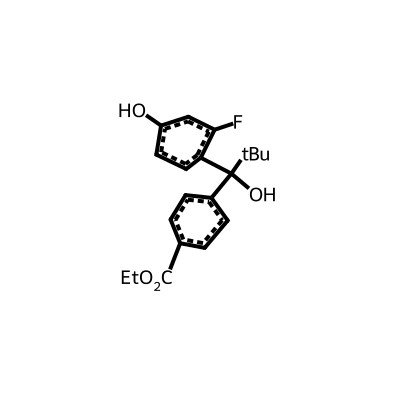 CCOC(=O)c1ccc(C(O)(c2ccc(O)cc2F)C(C)(C)C)cc1